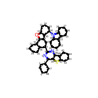 c1ccc(-c2nc(-c3cc4c(oc5cccc(-n6c7ccccc7c7ccccc76)c54)c4ccccc34)nc3c2sc2ccccc23)cc1